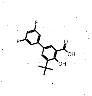 CC(C)(C)c1cc(-c2cc(F)cc(F)c2)cc(C(=O)O)c1O